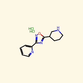 Cl.Cl.c1ccc(-c2noc(C3CCCNC3)n2)nc1